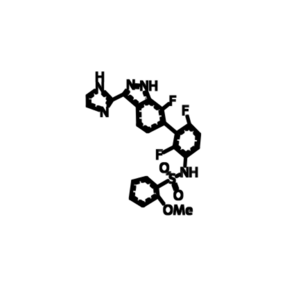 COc1ccccc1S(=O)(=O)Nc1ccc(F)c(-c2ccc3c(-c4ncc[nH]4)n[nH]c3c2F)c1F